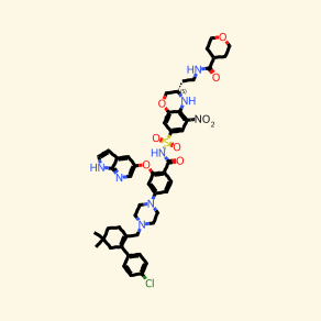 CC1(C)CCC(CN2CCN(c3ccc(C(=O)NS(=O)(=O)c4cc5c(c([N+](=O)[O-])c4)N[C@@H](CCNC(=O)C4CCOCC4)CO5)c(Oc4cnc5[nH]ccc5c4)c3)CC2)=C(c2ccc(Cl)cc2)C1